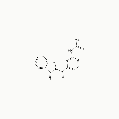 CC(C)(C)C(=O)Nc1cccc(C(=O)N2Cc3ccccc3C2=O)n1